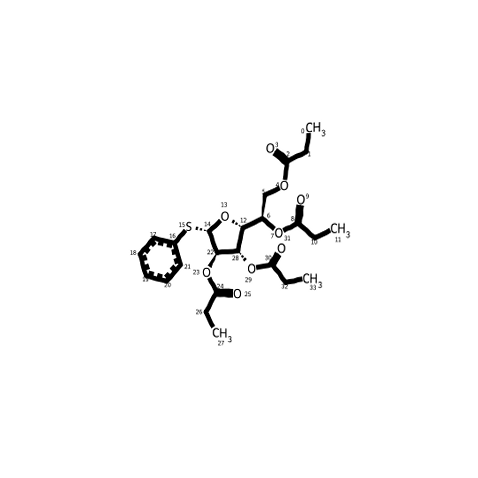 CCC(=O)OC[C@@H](OC(=O)CC)[C@H]1O[C@@H](Sc2ccccc2)[C@H](OC(=O)CC)[C@H]1OC(=O)CC